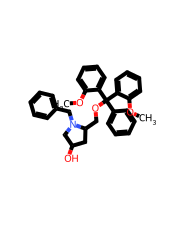 COc1ccccc1C(OCC1CC(O)CN1Cc1ccccc1)(c1ccccc1)c1ccccc1OC